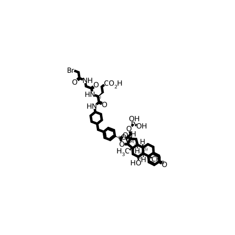 C[C@]12C=CC(=O)C=C1CC[C@@H]1[C@@H]2[C@@H](O)C[C@@]2(C)[C@H]1C[C@H]1O[C@@H](c3ccc(CC4CCC(NC(=O)[C@H](CCC(=O)O)NC(=O)CNC(=O)CBr)CC4)cc3)O[C@]12C(=O)COP(O)O